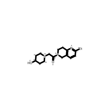 CCc1ccc2c(n1)CCN(C(=O)CN1CCC(O)CC1)C2